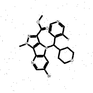 COC(=O)c1nn(C)c2c3ncc(Br)cc3n(C(c3ccncc3F)C3CCOCC3)c12